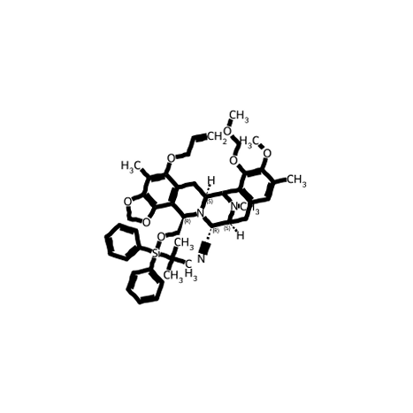 C=CCOc1c(C)c2c(c3c1C[C@H]1C4c5c(cc(C)c(OC)c5OCOC)C[C@@H]([C@H](C#N)N1[C@H]3CO[Si](c1ccccc1)(c1ccccc1)C(C)(C)C)N4C)OCO2